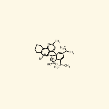 Cc1nc(C2(C(C)C)C=C(C(C)C)C=C(C(C)C)C2S(=O)(=O)O)c2cc(Br)c3c(c2n1)CCCC3